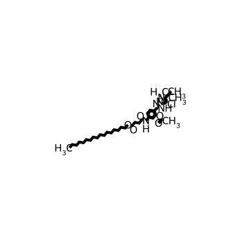 CCCCCCCCCCCCCCCCCOC(=O)CCC(=O)Nc1ccc(-c2nn3nc(C(C)(C)C)c(Cl)c3[nH]2)c(OC(C)=O)c1